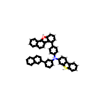 c1cc(-c2ccc3ccccc3c2)cc(N(c2ccc(-c3cccc4oc5c6ccccc6ccc5c34)cc2)c2ccc3c(c2)sc2ccccc23)c1